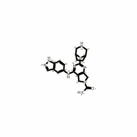 CC(=O)N1Cc2nc(N3C4CCC3CNC4)nc(Nc3ccc4[nH]ncc4c3)c2C1